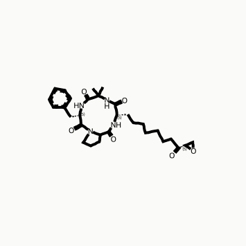 CC1(C)NC(=O)[C@H](CCCCCCCC(=O)[C@@H]2CO2)NC(=O)C2CCCN2C(=O)[C@H](Cc2ccccc2)NC1=O